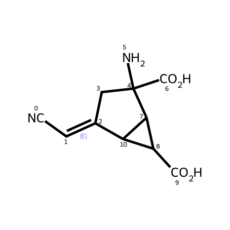 N#C/C=C1\CC(N)(C(=O)O)C2C(C(=O)O)C12